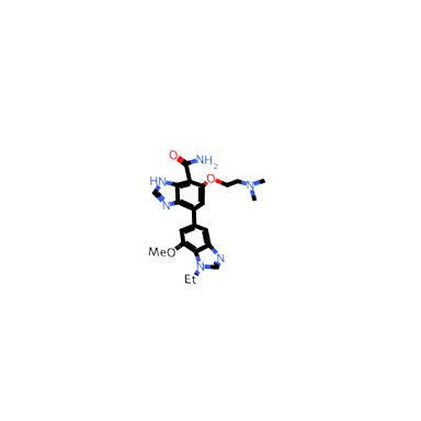 CCn1cnc2cc(-c3cc(OCCN(C)C)c(C(N)=O)c4[nH]cnc34)cc(OC)c21